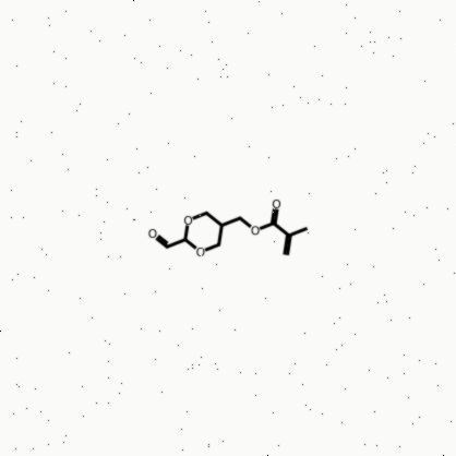 C=C(C)C(=O)OCC1COC(C=O)OC1